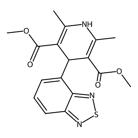 COC(=O)C1=C(C)NC(C)=C(C(=O)OC)C1c1cccc2nsnc12